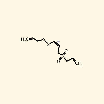 C=CCSS/C=C\CS(=O)(=O)CC=C